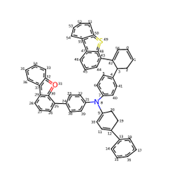 C1=CCC(c2ccc(N(C3=CC=C(c4ccccc4)CC3)c3ccc(-c4cccc5c4oc4ccccc45)cc3)cc2)C(c2cccc3c2sc2ccccc23)=C1